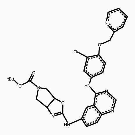 CC(C)(C)OC(=O)N1CC2N=C(Nc3ccc4ncnc(Nc5ccc(OCc6ccccn6)c(Cl)c5)c4c3)OC2C1